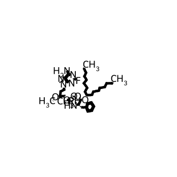 CCCCCCCCC(CCCCCCCC)OC(=O)[C@H](Cc1ccccc1)N[PH](=O)OC[C@](C)(CCn1cnc2c(N)nc(F)nc21)OC